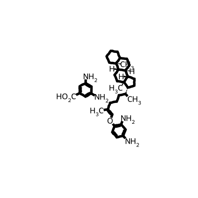 CC(=COc1ccc(N)cc1N)CCCC(C)[C@H]1CC[C@H]2[C@@H]3CCC4CCCC[C@]4(C)[C@H]3CC[C@]12C.Nc1cc(N)cc(C(=O)O)c1